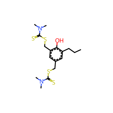 CCCc1cc(CSC(=S)N(C)C)cc(CSC(=S)N(C)C)c1O